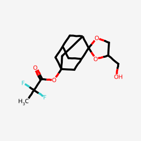 CC(F)(F)C(=O)OC12CC3CC(C1)C1(OCC(CO)O1)C(C3)C2